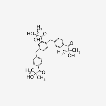 CC(C)(O)C(=O)c1ccc(Cc2ccc(Cc3ccc(C(=O)C(C)(C)O)cc3)c(C(=O)C(C)(C)O)c2)cc1